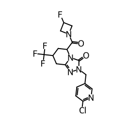 O=C(C1CC(C(F)(F)F)Cc2nn(Cc3ccc(Cl)nc3)c(=O)n21)N1CC(F)C1